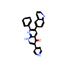 O=c1c(-c2ccncc2)c[nH]c2nc(-c3ccccc3)c(-c3ccc4ncccc4c3)cc12